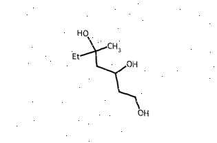 CCC(C)(O)CC(O)CCO